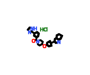 Cl.O=C(c1cccc(-c2ncc[nH]2)c1)N1CCC(Oc2ccc(-c3cnc4ccccc4c3)cc2)CC1